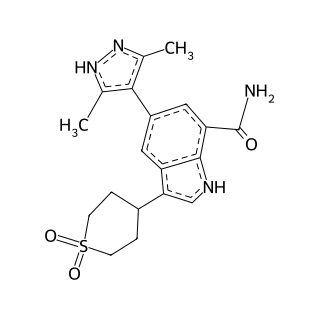 Cc1n[nH]c(C)c1-c1cc(C(N)=O)c2[nH]cc(C3CCS(=O)(=O)CC3)c2c1